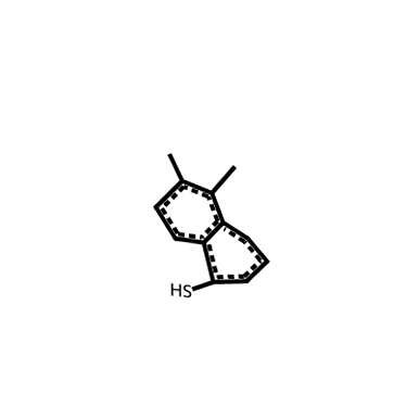 Cc1ccc2c(S)cccc2c1C